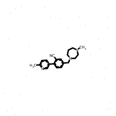 Cc1ccc(-c2ccc(CN3CCCN(C)CC3)cc2C#N)cn1